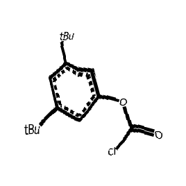 CC(C)(C)c1cc(OC(=O)Cl)cc(C(C)(C)C)c1